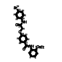 CCOc1ccccc1NC(=O)c1ccc(OCC(=O)Nc2ccc(Br)cc2)cc1